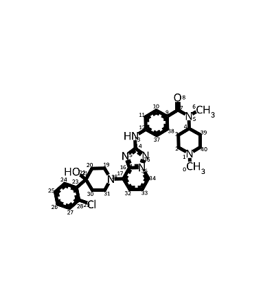 CN1CCC(N(C)C(=O)c2ccc(Nc3nc4c(N5CCC(O)(c6ccccc6Cl)CC5)cccn4n3)cc2)CC1